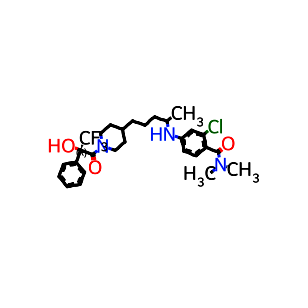 CC(CCCC1CCN(C(=O)[C@](O)(c2ccccc2)C(F)(F)F)CC1)Nc1ccc(C(=O)N(C)C)c(Cl)c1